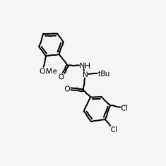 COc1ccccc1C(=O)NN(C(=O)c1ccc(Cl)c(Cl)c1)C(C)(C)C